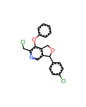 ClCc1ncc2c(c1Oc1ccccc1)COC2c1ccc(Cl)cc1